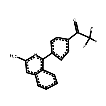 Cc1cc2ccccc2c(-c2ccc(C(=O)C(F)(F)F)cc2)n1